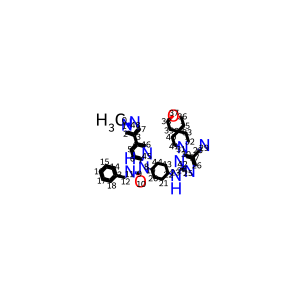 Cn1cc(-c2ccc(N(C(=O)NCc3ccccc3)[C@H]3CC[C@H](Nc4ncc(C#N)c(N5CCC6(CCOCC6)CC5)n4)CC3)nc2)cn1